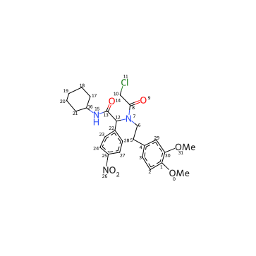 COc1ccc(CCN(C(=O)CCl)C(C(=O)NC2CCCCC2)c2ccc([N+](=O)[O-])cc2)cc1OC